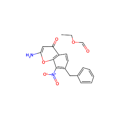 CCOC=O.Nc1cc(=O)c2ccc(Cc3ccccc3)c([N+](=O)[O-])c2o1